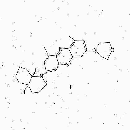 Cc1cc(N2CCOCC2)cc2[s+]c3cc(N4CCC[C@H]5CCCC[C@@H]54)cc(C)c3nc12.[I-]